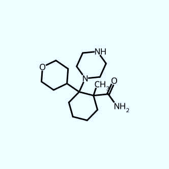 CC1(C(N)=O)CCCCC1(C1CCOCC1)N1CCNCC1